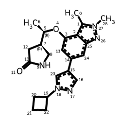 Cc1c2c(O[C@H](C)[C@H]3CNC(=O)C3)cc(-c3cnn(C4CCC4)c3)cc2nn1C